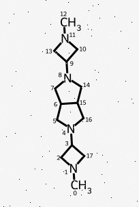 CN1CC(N2CC3CN(C4CN(C)C4)CC3C2)C1